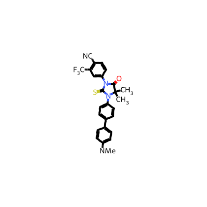 CNc1ccc(-c2ccc(N3C(=S)N(c4ccc(C#N)c(C(F)(F)F)c4)C(=O)C3(C)C)cc2)cc1